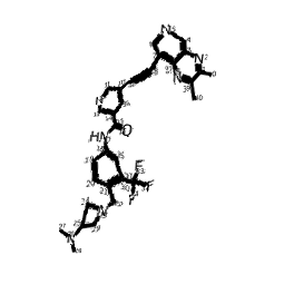 Cc1nc2cncc(C#Cc3cncc(C(=O)Nc4ccc(CN5CC(N(C)C)C5)c(C(F)(F)F)c4)c3)c2nc1C